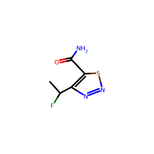 CC(F)c1nnsc1C(N)=O